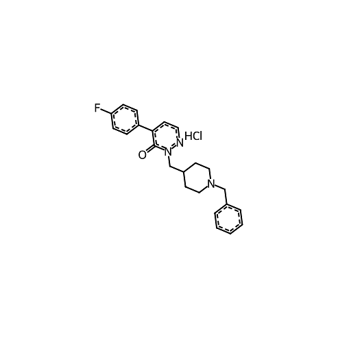 Cl.O=c1c(-c2ccc(F)cc2)ccnn1CC1CCN(Cc2ccccc2)CC1